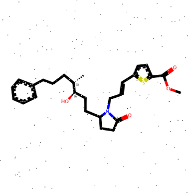 COC(=O)c1ccc(C=CCN2C(=O)CCC2CC[C@@H](O)[C@@H](C)CCCc2ccccc2)s1